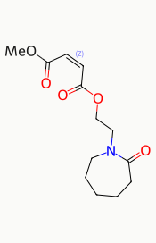 COC(=O)/C=C\C(=O)OCCN1CCCCCC1=O